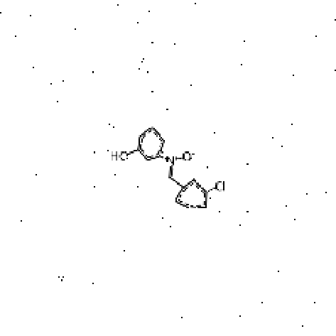 [O-][N+](=Cc1cccc(Cl)c1)c1cccc(O)c1